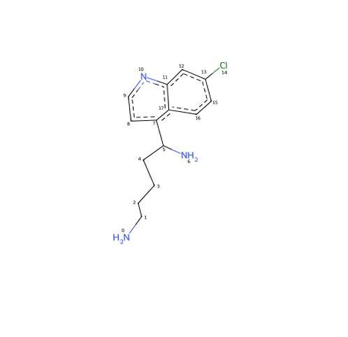 NCCCCC(N)c1ccnc2cc(Cl)ccc12